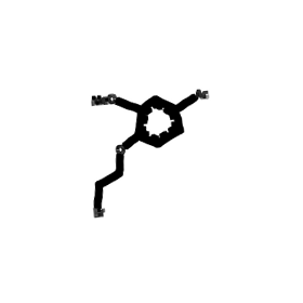 COc1cc(C(C)=O)ccc1OCCBr